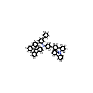 c1ccc(-c2cccc(N(c3ccc(-c4ccc(-c5ccccc5-n5c6ccccc6c6ccccc65)cc4)cc3)c3ccc4c(c3)C(c3ccccc3)(c3ccccc3)c3ccccc3-4)c2)cc1